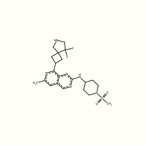 Cc1cc2cnc(NC3CCN(S(C)(=O)=O)CC3)nc2c(C2CC3(CNCC3(F)F)C2)n1